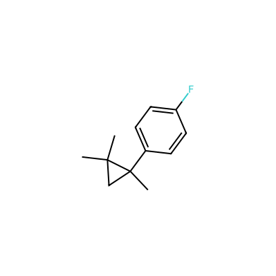 CC1(C)CC1(C)c1ccc(F)cc1